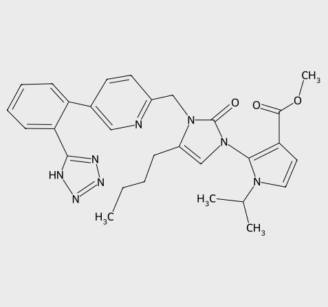 CCCCc1cn(-c2c(C(=O)OC)ccn2C(C)C)c(=O)n1Cc1ccc(-c2ccccc2-c2nnn[nH]2)cn1